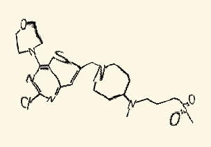 CN(CCCS(C)(=O)=O)C1CCN(Cc2cc3nc(Cl)nc(N4CCOCC4)c3s2)CC1